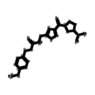 CCN(CC)C1CCN(C(=O)c2csc(CNC(=O)COc3ccc(OC(F)(F)F)cc3)n2)C1